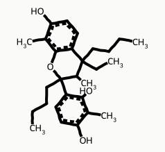 CCCCC1(CC)c2ccc(O)c(C)c2OC(CCCC)(c2ccc(O)c(C)c2O)C1C